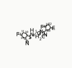 C=N/C(=N\OCCNSc1ccc(F)cc1C#N)c1cc(F)ccc1F